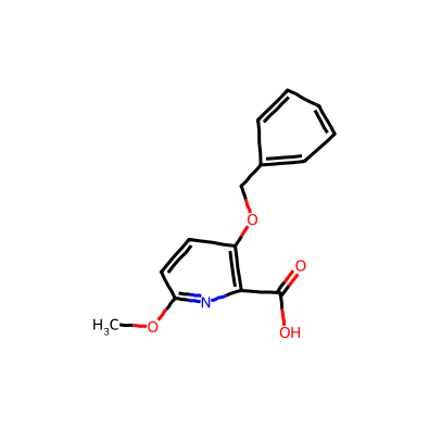 COc1ccc(OCc2ccccc2)c(C(=O)O)n1